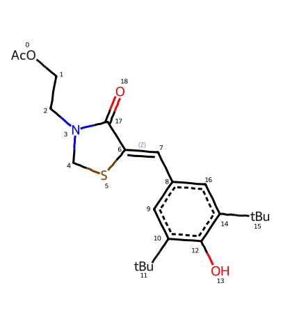 CC(=O)OCCN1CS/C(=C\c2cc(C(C)(C)C)c(O)c(C(C)(C)C)c2)C1=O